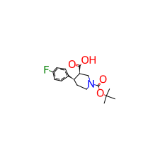 CC(C)(C)OC(=O)N1CC[C@@H](c2ccc(F)cc2)[C@@H](C(=O)O)C1